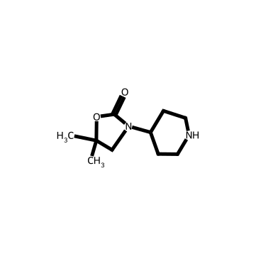 CC1(C)CN(C2CCNCC2)C(=O)O1